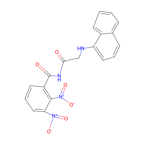 O=C(CNc1cccc2ccccc12)NC(=O)c1cccc([N+](=O)[O-])c1[N+](=O)[O-]